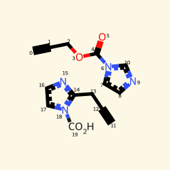 C#CCOC(=O)n1ccnc1.C#CCc1nccn1C(=O)O